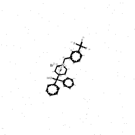 OC(c1ccccc1)(c1ccccc1)C12CC[N+](Cc3cccc(C(F)(F)F)c3)(CC1)CC2.[Br-]